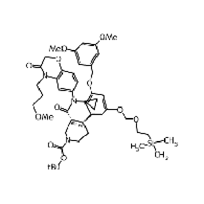 COCCCN1C(=O)COc2ccc(N(C(=O)[C@H]3CN(C(=O)OC(C)(C)C)CC[C@@H]3c3cc(OCOCC[Si](C)(C)C)cc(OCc4cc(OC)cc(OC)c4)c3)C3CC3)cc21